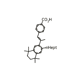 CCCCCCCc1cc2c(cc1/C(C)=C/c1ccc(C(=O)O)cc1)C(C)(C)CCC2(C)C